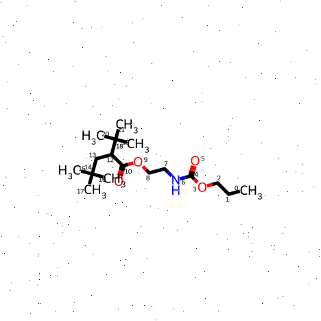 CCCOC(=O)NCCOC(=O)C(CC(C)(C)C)C(C)(C)C